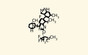 Cc1cc2[nH]ncc2c(-c2c(F)cc3c(N4C[C@H]5CC[C@@](C)(C4)N5)nc(OC[C@]4(CN(C)C)CC4(F)F)nc3c2F)c1C